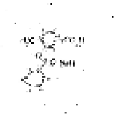 Cc1ccc(C(=O)O)cc1OC(=O)c1ccccc1.[NaH]